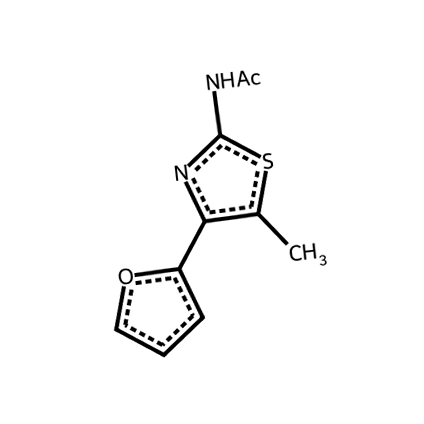 CC(=O)Nc1nc(-c2ccco2)c(C)s1